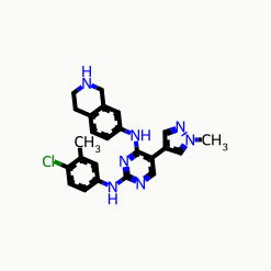 Cc1cc(Nc2ncc(-c3cnn(C)c3)c(Nc3ccc4c(c3)CNCC4)n2)ccc1Cl